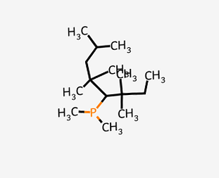 CCC(C)(C)C(P(C)C)C(C)(C)CC(C)C